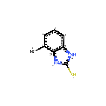 N#Cc1cccc2[nH]c(S)nc12